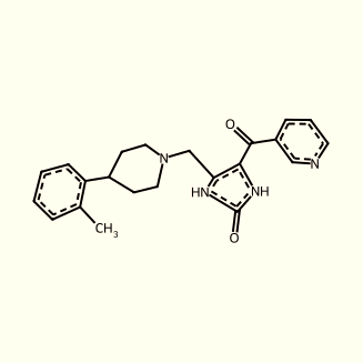 Cc1ccccc1C1CCN(Cc2[nH]c(=O)[nH]c2C(=O)c2cccnc2)CC1